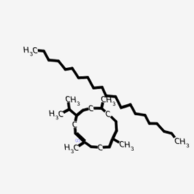 C/C1=C/CC(C(C)C)CCC(C)CCCC(C)CCC1.CCCCCCCCCCCCCCCCCCCCC